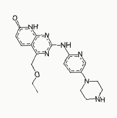 CCOCc1nc(Nc2ccc(N3CCNCC3)cn2)nc2[nH]c(=O)ccc12